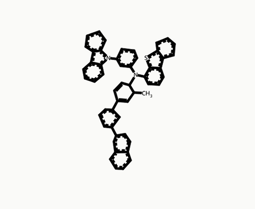 CC1C=C(c2cccc(-c3ccc4ccccc4c3)c2)C=CC1N(c1cccc(-n2c3ccccc3c3ccccc32)c1)c1cccc2c1sc1ccccc12